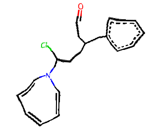 O=CC(CC(Cl)N1C=CC=CC=C1)c1ccccc1